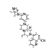 C[C@@H]1CN(c2ccc(C#N)c3ncccc23)C[C@@H]2CN(c3ccnc(N4CC(C)(N)C4)c3)CCN21